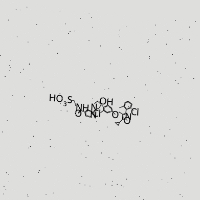 Cc1cccc(Cl)c1-c1noc(C2CC2)c1COc1ccc(C2(O)CCN(c3cc(C(=O)NCCS(=O)(=O)O)ccn3)C2)c(Cl)c1